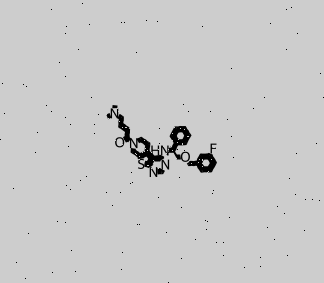 CN(C)C/C=C/C(=O)N1CCc2c(sc3ncnc(N[C@H](COCc4cccc(F)c4)c4ccccc4)c23)C1